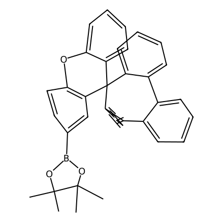 CC1(C)OB(c2ccc3c(c2)C2(c4ccccc4O3)c3ccccc3-c3ccccc3-c3ccccc32)OC1(C)C